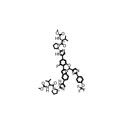 COC(=O)N[C@H](C(=O)N1CCC[C@H]1c1ncc(-c2cc(F)c3c(c2)OC(c2cnc(-c4ccc(OC(F)(F)F)cc4)s2)n2c-3cc3cc(-c4cnc([C@@H]5CCCN5C(=O)[C@@H](NC(=O)OC)C(C)C)[nH]4)ccc32)[nH]1)C(C)C